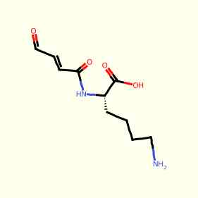 NCCCC[C@H](NC(=O)/C=C/C=O)C(=O)O